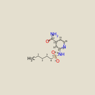 CCCCCS(=O)(=O)Nc1cc(C(N)=O)ccn1